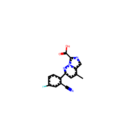 Cc1cc(-c2ccc(F)cc2C#N)nn2c(C(=O)O)ncc12